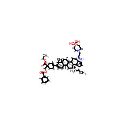 C=C(C)[C@@H]1CC[C@]2(NCCN3CCS(O)(O)CC3)CC[C@]3(C)[C@H](CC[C@@H]4[C@@]5(C)CC=C(C6=CCC(COC(=O)c7ccccc7)(C(=O)OCC)CC6)C(C)(C)[C@@H]5CC[C@]43C)[C@@H]12